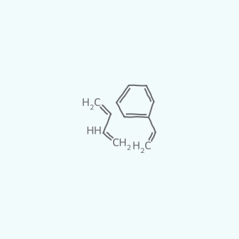 C=CC=C.C=Cc1ccccc1.[HH]